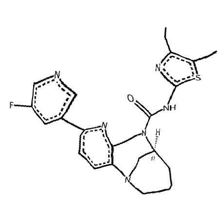 Cc1nc(NC(=O)N2c3nc(-c4cncc(F)c4)ccc3N3CCC[C@H]2C3)sc1C